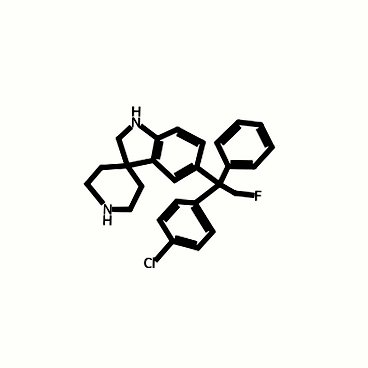 FCC(c1ccccc1)(c1ccc(Cl)cc1)c1ccc2c(c1)C1(CCNCC1)CN2